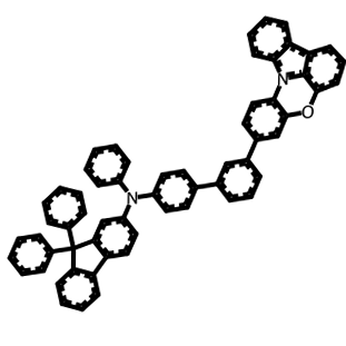 c1ccc(N(c2ccc(-c3cccc(-c4ccc5c(c4)Oc4cccc6c7ccccc7n-5c46)c3)cc2)c2ccc3c(c2)C(c2ccccc2)(c2ccccc2)c2ccccc2-3)cc1